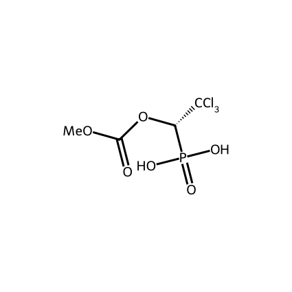 COC(=O)O[C@H](C(Cl)(Cl)Cl)P(=O)(O)O